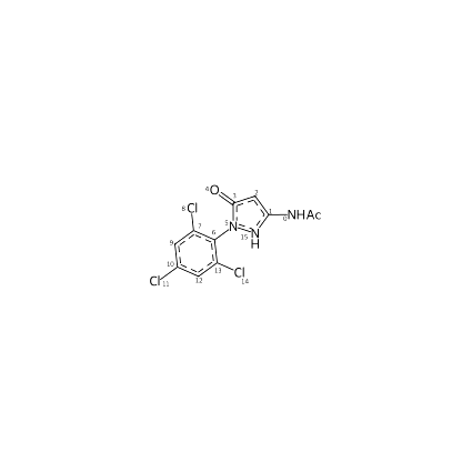 CC(=O)Nc1cc(=O)n(-c2c(Cl)cc(Cl)cc2Cl)[nH]1